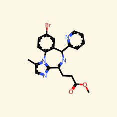 COC(=O)CCC1=NC(c2ccccn2)c2cc(Br)ccc2-n2c(C)cnc21